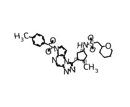 Cc1ccc(S(=O)(=O)n2ccc3c2ncc2nnc([C@H]4C[C@@H](NS(=O)(=O)CC5CCCCO5)C[C@H]4C)n23)cc1